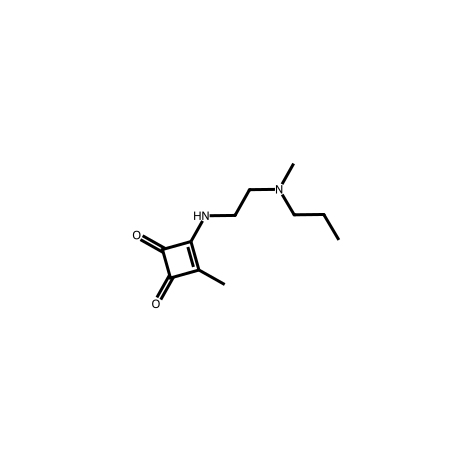 CCCN(C)CCNc1c(C)c(=O)c1=O